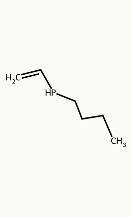 C=CPCCCC